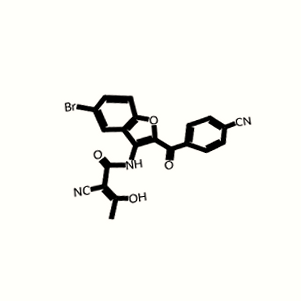 CC(O)=C(C#N)C(=O)Nc1c(C(=O)c2ccc(C#N)cc2)oc2ccc(Br)cc12